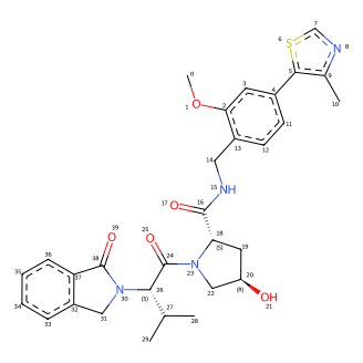 COc1cc(-c2scnc2C)ccc1CNC(=O)[C@@H]1C[C@@H](O)CN1C(=O)[C@H](C(C)C)N1Cc2ccccc2C1=O